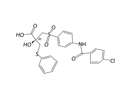 O=C(Nc1ccc(S(=O)(=O)C[C@](O)(CSc2ccccc2)C(=O)O)cc1)c1ccc(Cl)cc1